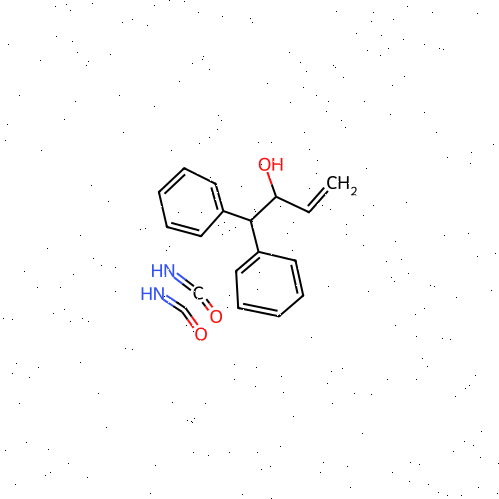 C=CC(O)C(c1ccccc1)c1ccccc1.N=C=O.N=C=O